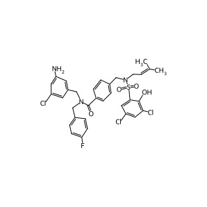 CC(C)=CCN(Cc1ccc(C(=O)N(Cc2ccc(F)cc2)Cc2cc(N)cc(Cl)c2)cc1)S(=O)(=O)c1cc(Cl)cc(Cl)c1O